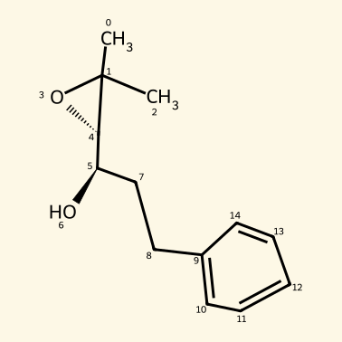 CC1(C)O[C@H]1[C@H](O)CCc1ccccc1